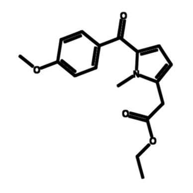 CCOC(=O)Cc1ccc(C(=O)c2ccc(OC)cc2)n1C